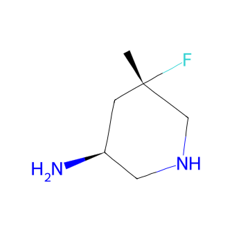 C[C@@]1(F)CNC[C@@H](N)C1